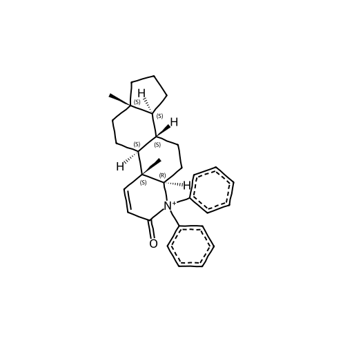 C[C@@]12CCC[C@H]1[C@@H]1CC[C@@H]3[C@](C)(C=CC(=O)[N+]3(c3ccccc3)c3ccccc3)[C@H]1CC2